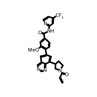 C=CC(=O)N1CCC(c2cc(-c3ccc(C(=O)Nc4cc(C(F)(F)F)ccn4)cc3OC)cc3cncnc23)C1